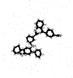 N#Cc1ccc(-c2nc(-c3cccc(Nc4cc5c(cc4-c4ccccc4)sc4ccccc45)c3)nc3ccccc23)cc1